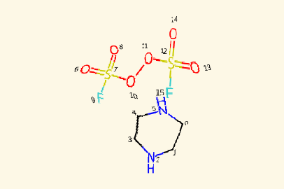 C1CNCCN1.O=S(=O)(F)OOS(=O)(=O)F